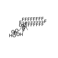 CC[N+](F)(CCOP(=O)(O)O)S(=O)(=O)C(F)(F)C(F)(F)C(F)(F)C(F)(F)C(F)(F)C(F)(F)C(F)(F)C(F)(F)F